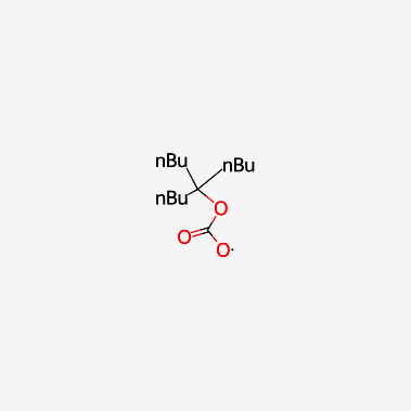 CCCCC(CCCC)(CCCC)OC([O])=O